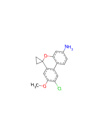 COc1cc2c(cc1Cl)-c1ccc(N)cc1OC21CC1